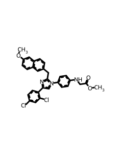 COC(=O)CNc1ccc(-n2cc(-c3ccc(Cl)cc3Cl)nc2Cc2ccc3cc(OC)ccc3c2)cc1